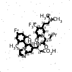 Cc1cc(F)cc(C)c1-c1cc([C@@H](CC(=O)O)NC(=O)[C@@H](CC(C)C)n2cc(CCN(C)C)c(C(F)(F)F)cc2=O)cc2nccn12